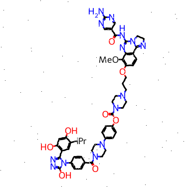 COc1c(OCCCN2CCN(C(=O)Oc3ccc(N4CCN(C(=O)c5ccc(-n6c(O)nnc6-c6cc(C(C)C)c(O)cc6O)cc5)CC4)cc3)CC2)ccc2c1N=C(NC(=O)c1cnc(N)nc1)N1CCN=C21